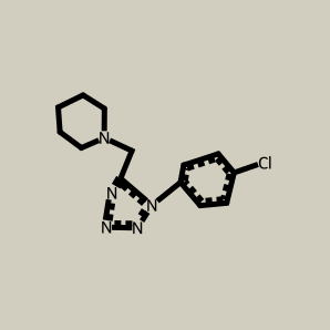 Clc1ccc(-n2nnnc2CN2CCCCC2)cc1